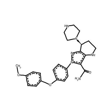 COc1ccc(Oc2ccc(-n3nc4c(c3C(N)=O)NCC[C@@H]4N3CCNCC3)cc2)cc1